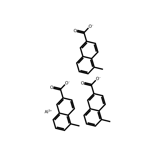 Cc1cccc2cc(C(=O)[O-])ccc12.Cc1cccc2cc(C(=O)[O-])ccc12.Cc1cccc2cc(C(=O)[O-])ccc12.[Al+3]